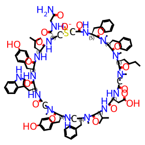 CCCC[C@H]1C(=O)N(C)CC(=O)N[C@@H](CC(=O)O)C(=O)N[C@@H](C(C)C)C(=O)N(C)[C@@H](Cc2ccccc2)CN[C@@H](Cc2ccc(O)cc2)C(=O)N(C)CC(=O)N[C@@H](Cc2c[nH]c3ccccc23)C(=O)N[C@@H](Cc2ccc(O)cc2)C(=O)N[C@@H](CC(C)C)C(=O)N[C@H](C(=O)NCC(N)=O)C[S+]([O-])CC(=O)N[C@@H](Cc2ccccc2)C(=O)N(C)[C@@H](Cc2ccccc2)C(=O)N1C